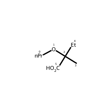 CCCOC(C)(CC)C(=O)O